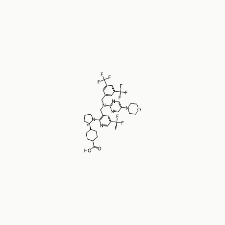 O=C(O)C1CCC([C@H]2CCCN2c2ncc(C(F)(F)F)cc2CN(Cc2cc(C(F)(F)F)cc(C(F)(F)F)c2)c2ncc(N3CCOCC3)cn2)CC1